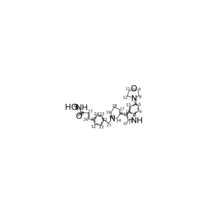 Cc1[nH]c2ccc(N3CCOCC3)cc2c1C1CCCN(Cc2ccc(C=CC(=O)NO)cc2)C1